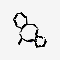 C=C1/C=c2/cccn/c2=N/CC2=C(C=C=CC=C2)O1